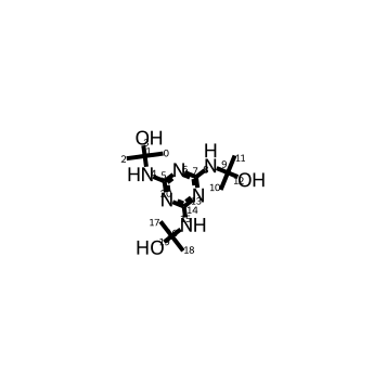 CC(C)(O)Nc1nc(NC(C)(C)O)nc(NC(C)(C)O)n1